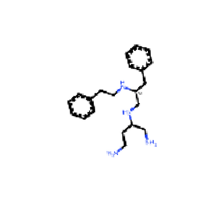 NCCC(CN)NC[C@H](Cc1ccccc1)NCCc1ccccc1